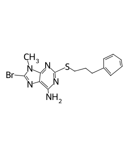 Cn1c(Br)nc2c(N)nc(SCCCc3ccccc3)nc21